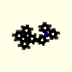 c1cc(-c2ccc3c(c2)-c2ccccc2C32c3ccccc3-c3ccccc32)cc(-n2c3ccccc3c3ccccc32)c1